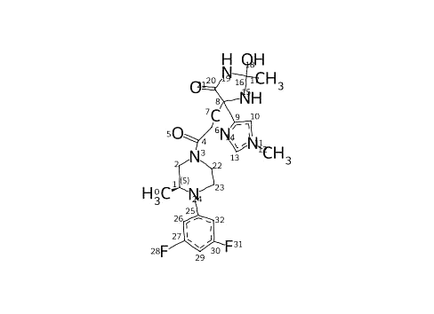 C[C@H]1CN(C(=O)CCC2(c3cn(C)cn3)NC(C)(O)NC2=O)CCN1c1cc(F)cc(F)c1